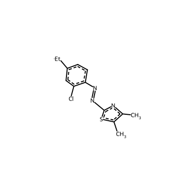 C[CH]c1ccc(N=Nc2nc(C)c(C)s2)c(Cl)c1